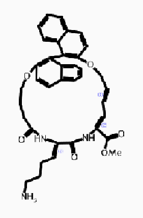 COC(=O)/C1=C/C=C/COc2ccc3ccccc3c2-c2c(ccc3ccccc23)OCCCC(=O)N/C(=C\CCCN)C(=O)N1